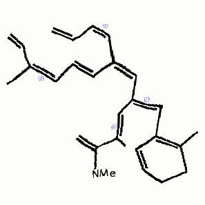 C=C/C=C\C(C=C/C=C(/C)C=C)=CC(=C/C1=C(C)CCC=C1)/C=C(\C)C(=C)NC